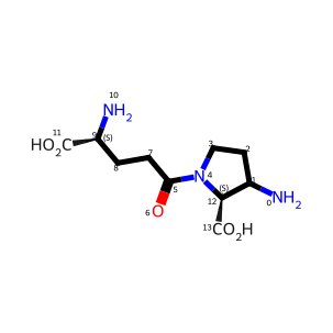 NC1CCN(C(=O)CC[C@H](N)C(=O)O)[C@@H]1C(=O)O